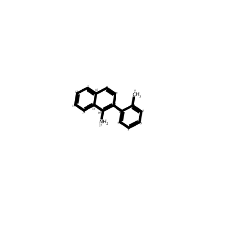 Cc1ccccc1-c1ccc2ccccc2c1N